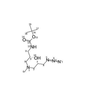 CN(CCCN=[N+]=[N-])C[C@@H](O)CNC(=O)OC(C)(C)C